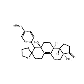 CCCCCCCc1ccc(C2C3(CCC4=C5CC[C@]6(C)C(=O)CC[C@H]6[C@@H]5CC[C@]42O)OCCO3)cc1